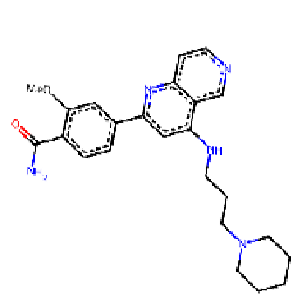 COc1cc(-c2cc(NCCCN3CCCCC3)c3cnccc3n2)ccc1C(N)=O